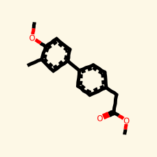 COC(=O)Cc1ccc(-c2ccc(OC)c(C)c2)cc1